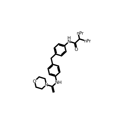 C=C(Nc1ccc(Cc2ccc(NC(=O)C(CCC)CCC)cc2)cc1)N1CCOCC1